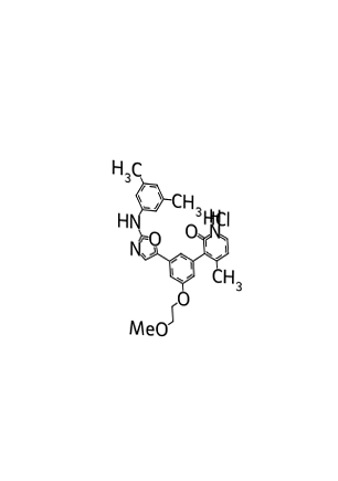 COCCOc1cc(-c2cnc(Nc3cc(C)cc(C)c3)o2)cc(-c2c(C)cc[nH]c2=O)c1.Cl